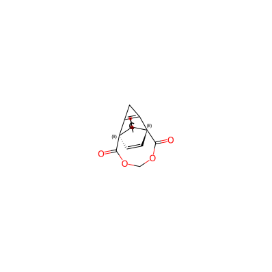 O=C1OCOC(=O)[C@@]23C=C[C@]1(C1=C2C1)C31CCCCC1